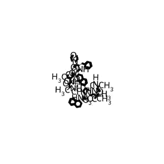 CN[C@@H](C)C(=O)NC(C(=O)N1C[C@@H](c2ccc3c(c2)CN(C(=O)[C@@H](NC(=O)[C@H](C)NC)C(C)(C)C)[C@H](C(=O)N[C@@H](Cc2ccccc2)C(=O)N2CCOCC2)C3)C[C@H]1C(=O)N[C@@H]1CCCc2ccccc21)C(C)(C)C